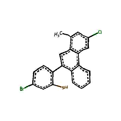 Cc1cc(Cl)cc2c1cc(-c1ccc(Br)cc1S)c1ccccc12